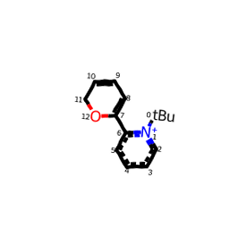 CC(C)(C)[n+]1ccccc1C1=CC=CCO1